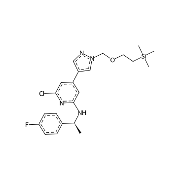 C[C@H](Nc1cc(-c2cnn(COCC[Si](C)(C)C)c2)cc(Cl)n1)c1ccc(F)cc1